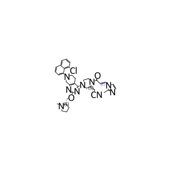 Cc1nccn1/C=C/C(=O)N1CCN(c2nc(OC[C@@H]3CCCN3C)nc3c2CCN(c2cccc4cccc(Cl)c24)C3)C[C@@H]1CC#N